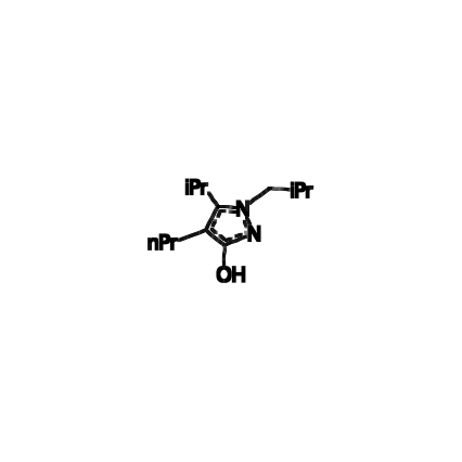 CCCc1c(O)nn(CC(C)C)c1C(C)C